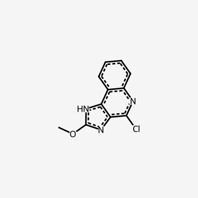 COc1nc2c(Cl)nc3ccccc3c2[nH]1